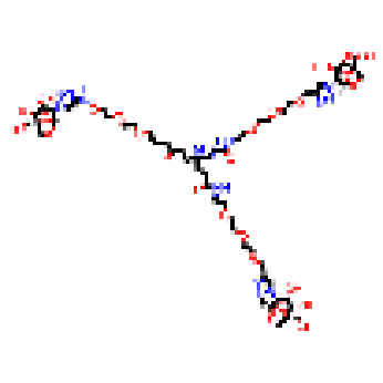 NC(CCC(=O)CCCOCCOCCONc1cn([C@H]2[C@H]3OC[C@](CO)(O3)[C@H](O)[C@@H]2O)nn1)(CCC(=O)NCCOCCOCCOCc1cn([C@H]2[C@H]3OC[C@](CO)(O3)[C@H](O)[C@@H]2O)nn1)CCC(=O)NCCOCCOCCOCc1cn([C@H]2[C@H]3OC[C@](CO)(O3)[C@H](O)[C@@H]2O)nn1